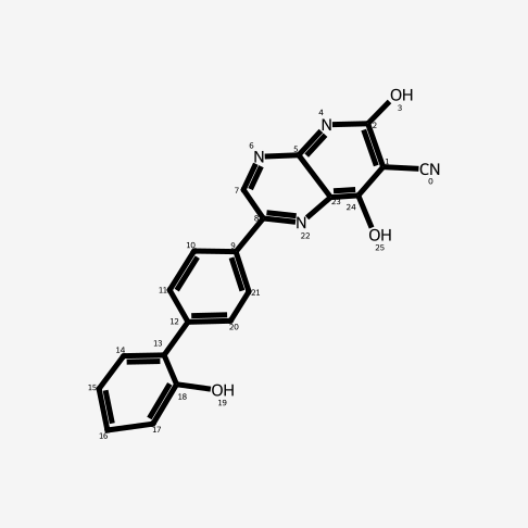 N#Cc1c(O)nc2ncc(-c3ccc(-c4ccccc4O)cc3)nc2c1O